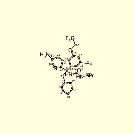 CC(C)NC(=O)NC(Cc1ccccc1)(c1cc(F)cc(OCC(F)(F)F)c1)c1ccc(N)cn1